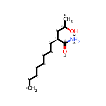 CCCCCCCC[C@@H](CC(C)O)C(N)=O